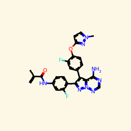 C=C(C)C(=O)Nc1ccc(-c2nn3ncnc(N)c3c2-c2ccc(Oc3ccn(C)n3)c(F)c2)c(F)c1